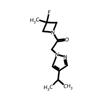 CC(C)c1cnn(CC(=O)N2CC(C)(F)C2)c1